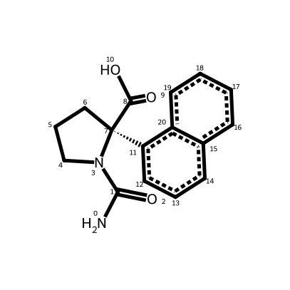 NC(=O)N1CCC[C@]1(C(=O)O)c1cccc2ccccc12